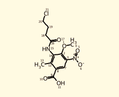 COc1c([N+](=O)[O-])cc(C(=O)O)c(C)c1NC(=O)CCCCl